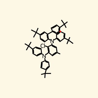 Cc1cc(N(c2ccc(C(C)(C)C)cc2)c2ccc(C(C)(C)C)cc2)c(Cl)c(N(c2cccc(C(C)(C)C)c2)c2ccc(C(C)(C)C)cc2-c2ccc(C(C)(C)C)cc2)c1